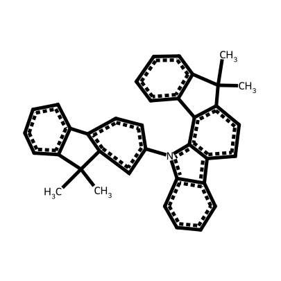 CC1(C)c2ccccc2-c2ccc(-n3c4ccccc4c4ccc5c(c43)-c3ccccc3C5(C)C)cc21